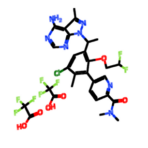 Cc1c(Cl)cc(C(C)n2nc(C)c3c(N)ncnc32)c(OCC(F)F)c1-c1ccc(C(=O)N(C)C)nc1.O=C(O)C(F)(F)F.O=C(O)C(F)(F)F